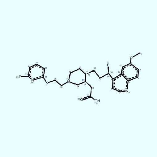 COc1ccc2nccc([C@H](F)CC[C@@H]3CCN(CCSc4cccc(F)n4)C[C@@H]3CC(=O)O)c2c1